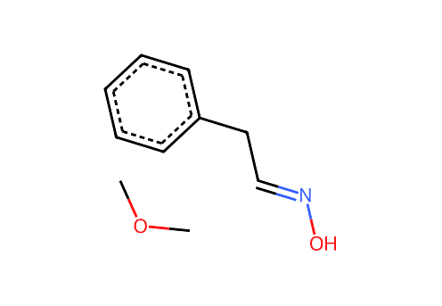 COC.ON=CCc1ccccc1